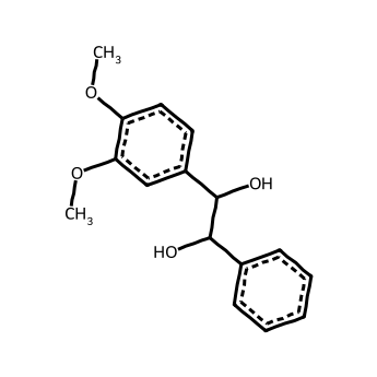 COc1ccc(C(O)C(O)c2ccccc2)cc1OC